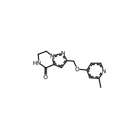 Cc1cc(OCc2cc3n(n2)CCNC3=O)ccn1